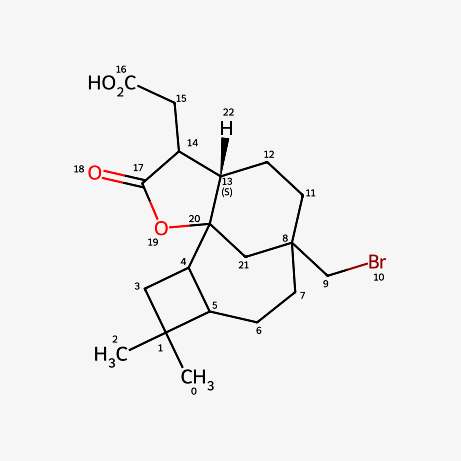 CC1(C)CC2C1CCC1(CBr)CC[C@H]3C(CC(=O)O)C(=O)OC23C1